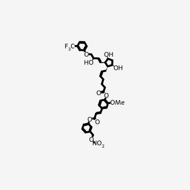 COc1cc(/C=C/C(=O)Oc2cccc(CO[N+](=O)[O-])c2)ccc1OC(=O)CCC/C=C\C[C@@H]1[C@@H](/C=C/[C@@H](O)COc2cccc(C(F)(F)F)c2)[C@H](O)C[C@@H]1O